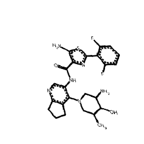 CC1CN(c2c(NC(=O)c3nc(-c4c(F)cccc4F)sc3N)cnc3c2CCC3)CC(N)C1O